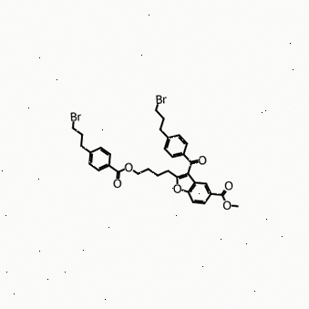 COC(=O)c1ccc2oc(CCCCOC(=O)c3ccc(CCCBr)cc3)c(C(=O)c3ccc(CCCBr)cc3)c2c1